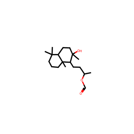 CC(CCC1C(C)(O)CCC2C(C)(C)CCCC21C)OC=O